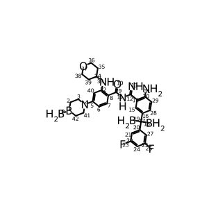 BB1CCN(c2ccc(C(=O)NC(=N)c3cc(C(B)(B)c4cc(F)cc(F)c4)ccc3N)c(NC3CCOCC3)c2)CC1